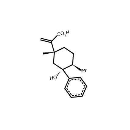 C=C(C(=O)O)[C@]1(C)CC[C@@H](C(C)C)[C@@](O)(c2ccccc2)C1